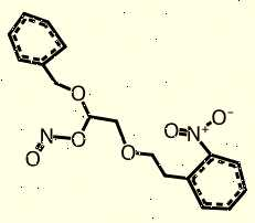 O=NO[C](COCCc1ccccc1[N+](=O)[O-])OCc1ccccc1